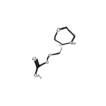 CC(=O)OOC[C@@H]1COCCN1